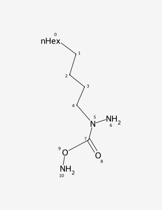 CCCCCCCCCCN(N)C(=O)ON